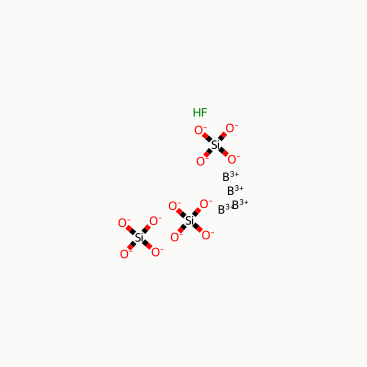 F.[B+3].[B+3].[B+3].[B+3].[O-][Si]([O-])([O-])[O-].[O-][Si]([O-])([O-])[O-].[O-][Si]([O-])([O-])[O-]